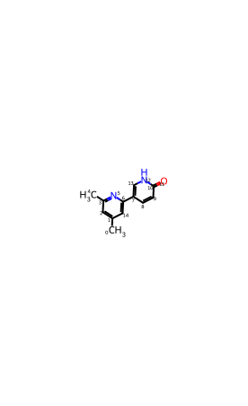 Cc1cc(C)nc(-c2ccc(=O)[nH]c2)c1